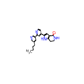 CCCCc1cncc(-c2cc(-c3cc4c([nH]3)CCNC4=O)ccn2)c1